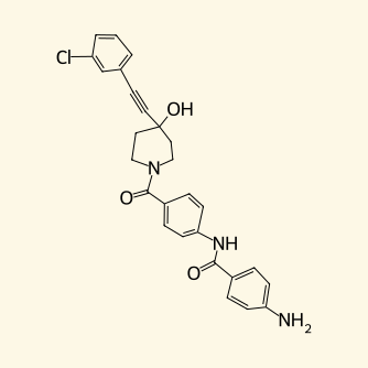 Nc1ccc(C(=O)Nc2ccc(C(=O)N3CCC(O)(C#Cc4cccc(Cl)c4)CC3)cc2)cc1